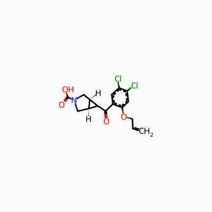 C=CCOc1cc(Cl)c(Cl)cc1C(=O)C1[C@H]2CN(C(=O)O)C[C@@H]12